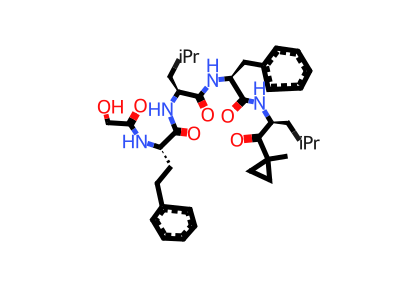 CC(C)C[C@H](NC(=O)[C@H](CCc1ccccc1)NC(=O)CO)C(=O)N[C@@H](Cc1ccccc1)C(=O)N[C@@H](CC(C)C)C(=O)C1(C)CC1